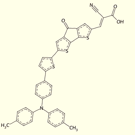 Cc1ccc(N(c2ccc(C)cc2)c2ccc(-c3ccc(-c4cc5c(s4)-c4sc(/C=C(\C#N)C(=O)O)cc4C5=O)s3)cc2)cc1